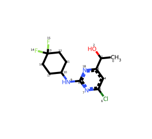 CC(O)c1cc(Cl)nc(NC2CCC(F)(F)CC2)n1